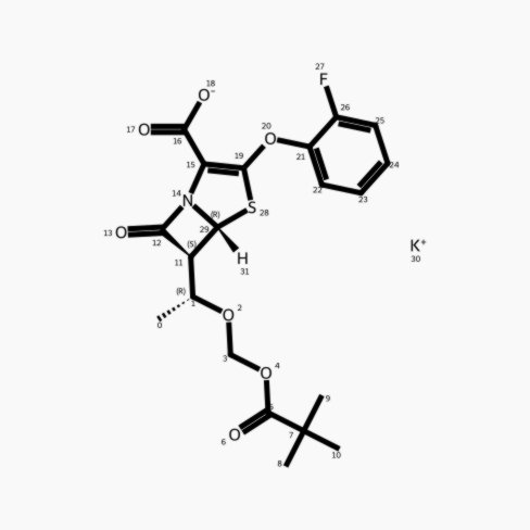 C[C@@H](OCOC(=O)C(C)(C)C)[C@H]1C(=O)N2C(C(=O)[O-])=C(Oc3ccccc3F)S[C@H]12.[K+]